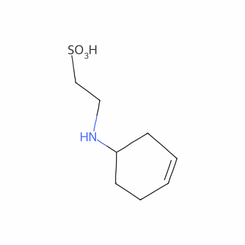 O=S(=O)(O)CCNC1CC=CCC1